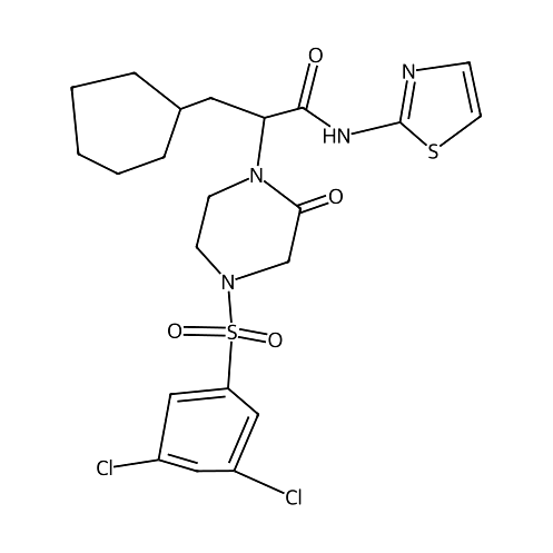 O=C(Nc1nccs1)C(CC1CCCCC1)N1CCN(S(=O)(=O)c2cc(Cl)cc(Cl)c2)CC1=O